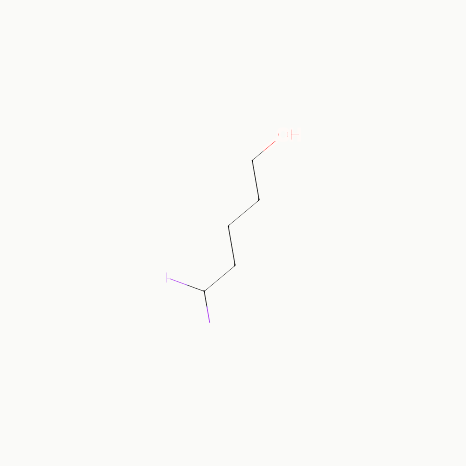 OCCCCC(I)I